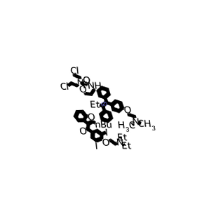 CC/C(=C(\c1ccccc1)c1ccc(OCCN(C)C)cc1)c1ccccc1.CCCCc1oc2ccccc2c1C(=O)c1cc(I)c(OCCN(CC)CC)c(I)c1.O=P1(N(CCCl)CCCl)NCCCO1